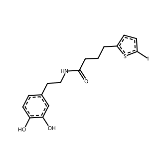 O=C(CCCc1ccc(I)s1)NCCc1ccc(O)c(O)c1